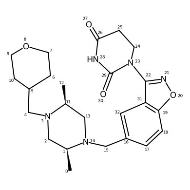 C[C@H]1CN(CC2CCOCC2)[C@@H](C)CN1Cc1ccc2onc(N3CCC(=O)NC3=O)c2c1